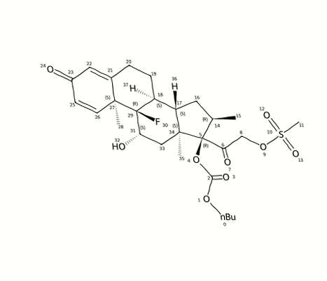 CCCCOC(=O)O[C@]1(C(=O)COS(C)(=O)=O)[C@H](C)C[C@H]2[C@@H]3CCC4=CC(=O)C=C[C@]4(C)[C@@]3(F)[C@@H](O)C[C@@]21C